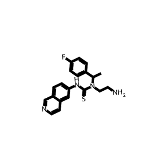 CC(c1ccc(F)cc1)N(CCN)C(=S)Nc1ccc2cnccc2c1